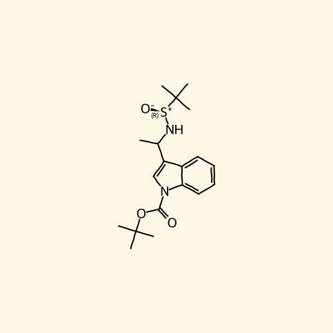 CC(N[S@@+]([O-])C(C)(C)C)c1cn(C(=O)OC(C)(C)C)c2ccccc12